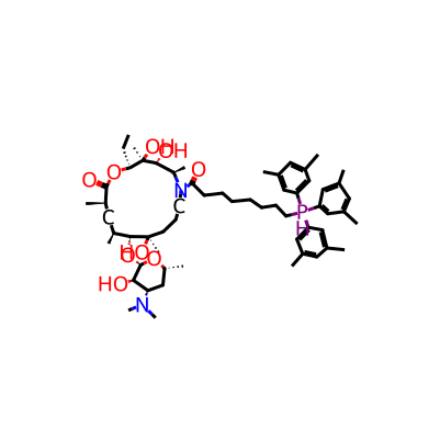 CC[C@H]1OC(=O)[C@H](C)C[C@H](C)[C@@H](O[C@@H]2O[C@H](C)C[C@H](N(C)C)[C@H]2O)[C@](C)(O)CCCN(C(=O)CCCCCCC[PH](c2cc(C)cc(C)c2)(c2cc(C)cc(C)c2)c2cc(C)cc(C)c2)[C@H](C)[C@@H](O)[C@]1(C)O